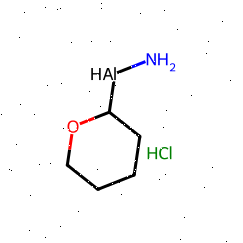 Cl.[NH2][AlH][CH]1CCCCO1